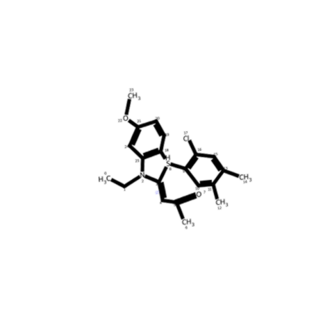 CCN1/C(=C/C(C)=O)[SH](c2cc(C)c(C)cc2Cl)c2ccc(OC)cc21